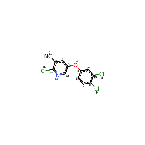 N#Cc1cc(Oc2ccc(Cl)c(Cl)c2)cnc1Cl